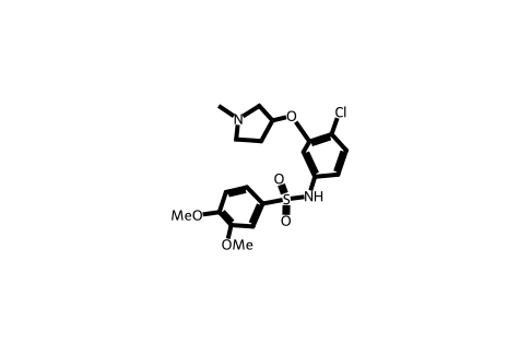 COc1ccc(S(=O)(=O)Nc2ccc(Cl)c(OC3CCN(C)C3)c2)cc1OC